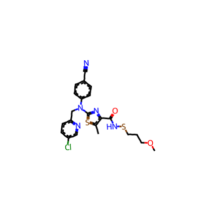 COCCCSNC(=O)c1nc(N(Cc2ccc(Cl)cn2)c2ccc(C#N)cc2)sc1C